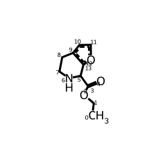 CCOC(=O)C1NCCc2ccoc21